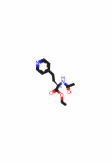 CCOC(=O)[C@@H](CCc1ccncc1)NC(C)=O